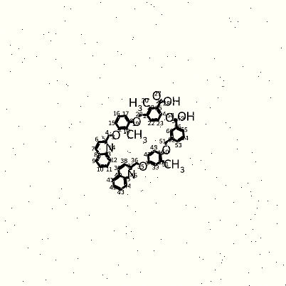 Cc1c(OCc2ccc3ccccc3n2)cccc1OCc1cccc(C(=O)O)c1C.Cc1cc(OCc2ccc3ccccc3n2)ccc1OCc1cccc(C(=O)O)c1